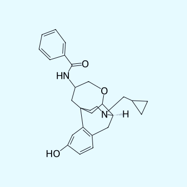 O=C(NC1COC2CC3(CCN(CC4CC4)[C@@H]2Cc2ccc(O)cc23)C1)c1ccccc1